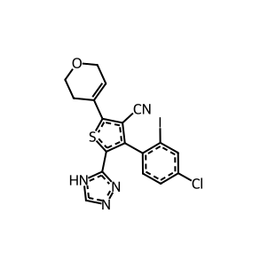 N#Cc1c(C2=CCOCC2)sc(-c2nnc[nH]2)c1-c1ccc(Cl)cc1I